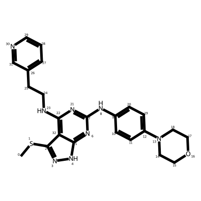 CSc1n[nH]c2nc(Nc3ccc(N4CCOCC4)cc3)nc(NCCc3cccnc3)c12